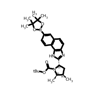 C[C@@H]1C[C@@H](c2nc3ccc4cc(B5OC(C)(C)C(C)(C)O5)ccc4c3[nH]2)N(C(=O)OC(C)(C)C)[C@@H]1C